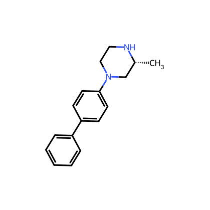 C[C@@H]1CN(c2ccc(-c3ccccc3)cc2)CCN1